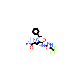 CNC(=O)c1cc(C(=O)Nc2nnc(C(F)(F)F)o2)n(C(C)c2ccccc2)n1